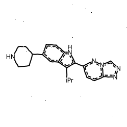 CC(C)c1c(-c2ccc3nncn3n2)[nH]c2ccc(C3CCNCC3)cc12